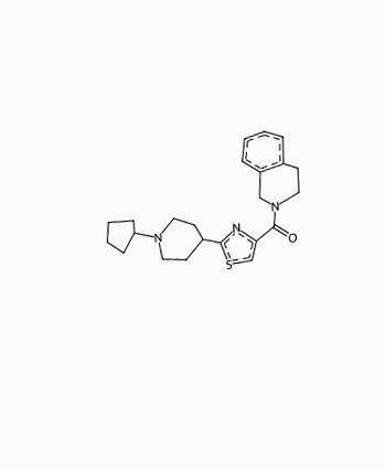 O=C(c1csc(C2CCN(C3CCCC3)CC2)n1)N1CCc2ccccc2C1